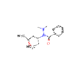 COC(=O)CC(CC(=O)O)N(C(=O)c1ccccc1)N(C)C